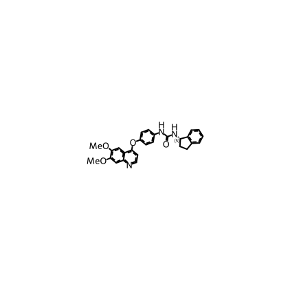 COc1cc2nccc(Oc3ccc(NC(=O)N[C@H]4CCc5ccccc54)cc3)c2cc1OC